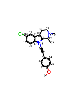 COc1ccc(C#Cn2c3c(c4cc(Cl)ccc42)CCN(C)C3C)cc1